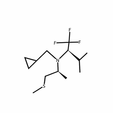 CSC[C@H](C)N(CC1CC1)[C@H](C(C)C)C(F)(F)F